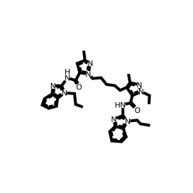 CCCn1c(NC(=O)c2cc(C)nn2CCCCCc2c(C)nn(CC)c2C(=O)Nc2nc3ccccc3n2CCC)nc2ccccc21